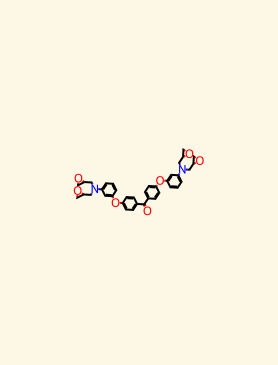 O=C(c1ccc(Oc2cccc(N(CC3CO3)CC3CO3)c2)cc1)c1ccc(Oc2cccc(N(CC3CO3)CC3CO3)c2)cc1